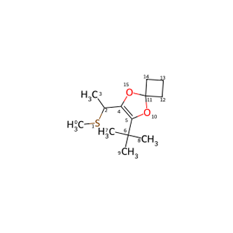 CSC(C)C1=C(C(C)(C)C)OC2(CCC2)O1